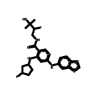 CC(C)(O)C(F)CNC(=O)c1cnc(Nc2ccc3ncsc3c2)cc1NC1CCC(F)C1